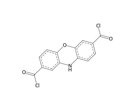 O=C(Cl)c1ccc2c(c1)Nc1ccc(C(=O)Cl)cc1O2